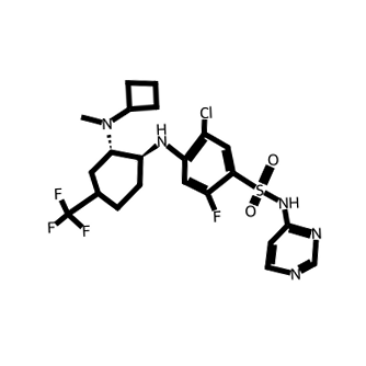 CN(C1CCC1)[C@H]1CC(C(F)(F)F)CC[C@@H]1Nc1cc(F)c(S(=O)(=O)Nc2ccncn2)cc1Cl